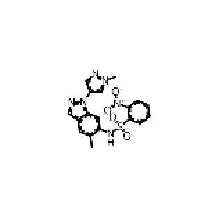 Cc1cc2cnn(-c3cnn(C)c3)c2cc1NS(=O)(=O)c1ccccc1[N+](=O)[O-]